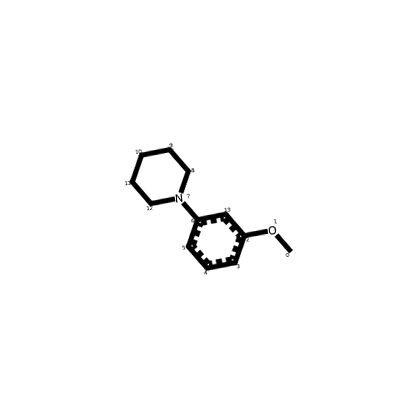 COc1cccc(N2C[CH]CCC2)c1